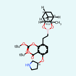 CC(C)(C)OC(=O)Oc1c(CCB2O[C@@H]3C[C@@H]4C[C@@H](C4(C)C)[C@]3(C)O2)ccc(O[C@H]2CCNC2)c1C(=O)OC(C)(C)C